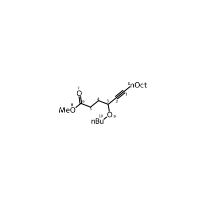 CCCCCCCCC#CC(CCC(=O)OC)OCCCC